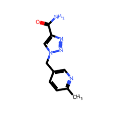 Cc1ccc(Cn2cc(C(N)=O)nn2)cn1